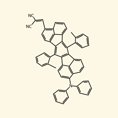 Cc1ccccc1-c1c2c3cccc4c(C=C(C#N)C#N)ccc(c2c(-c2ccccc2C)c2c5ccc(N(c6ccccc6)c6ccccc6)c6cccc(c12)c65)c43